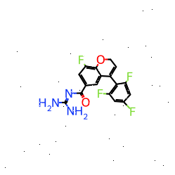 NC(N)=NC(=O)c1cc(F)c2c(c1)C(c1c(F)cc(F)cc1F)=CCO2